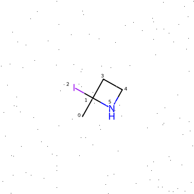 CC1(I)CCN1